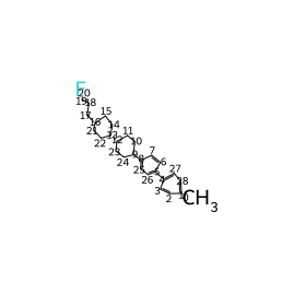 Cc1ccc(-c2ccc(C3CCC([C@H]4CC[C@H](CCCF)CC4)CC3)cc2)cc1